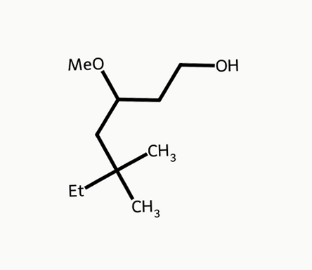 CCC(C)(C)CC(CCO)OC